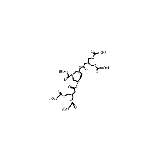 CCCCCCCCC(=O)OCC(COC(=O)CCCCCCCC)CC(=O)O[C@H]1C=C[C@H](OC(=O)CC(COC(=O)CCCCCCCC)COC(=O)CCCCCCCC)CN(C(=O)OC(C)(C)C)C1